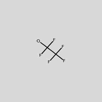 [O]C(F)(F)C(F)(F)F